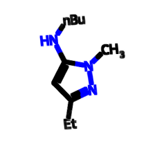 CCCCNc1cc(CC)nn1C